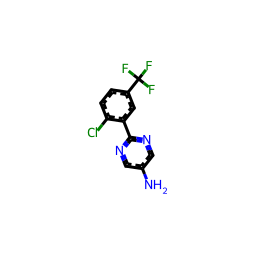 Nc1cnc(-c2cc(C(F)(F)F)ccc2Cl)nc1